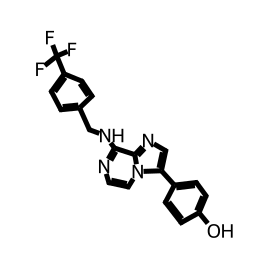 Oc1ccc(-c2cnc3c(NCc4ccc(C(F)(F)F)cc4)nccn23)cc1